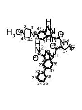 CN1CCN(c2ccc3c(NC(=O)N4CC(F)CC4C(=O)Cn4nc(C(N)=O)c5cc(-c6ccccc6)ccc54)n[nH]c3c2)CC1